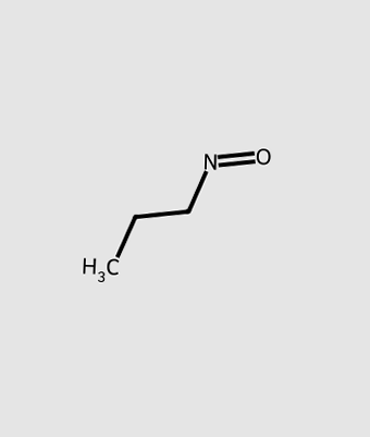 CCCN=O